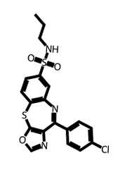 CCCNS(=O)(=O)c1ccc2c(c1)N=C(c1ccc(Cl)cc1)c1ncoc1S2